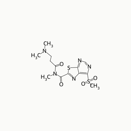 CN(C)CCC(=O)N(C)C(=O)c1nc2c(S(C)(=O)=O)ncnc2s1